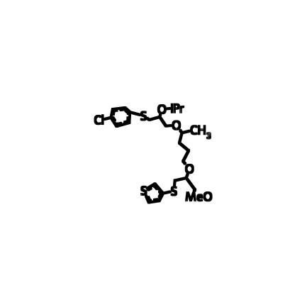 COCC(CSc1ccsc1)OCCCC(C)OCC(CSc1ccc(Cl)cc1)OC(C)C